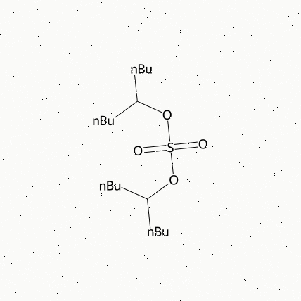 CCCCC(CCCC)OS(=O)(=O)OC(CCCC)CCCC